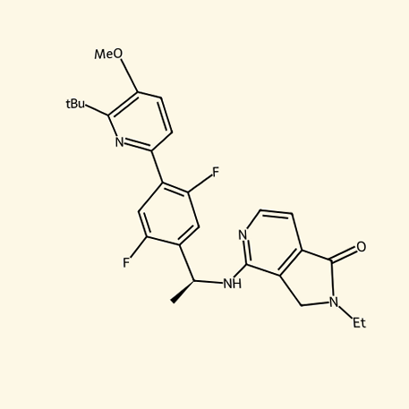 CCN1Cc2c(ccnc2N[C@@H](C)c2cc(F)c(-c3ccc(OC)c(C(C)(C)C)n3)cc2F)C1=O